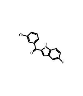 O=C(c1cccc(Cl)c1)c1cc2cc(F)ccc2[nH]1